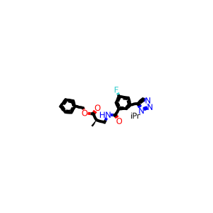 CC(C)n1nncc1-c1cc(F)cc(C(=O)NC[C@@H](C)C(=O)OCc2ccccc2)c1